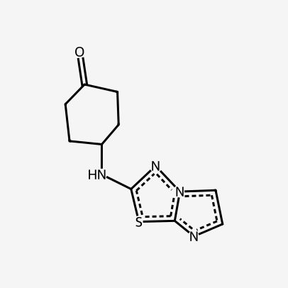 O=C1CCC(Nc2nn3ccnc3s2)CC1